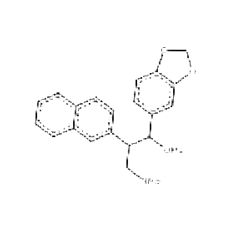 CNCC(c1ccc2ccccc2c1)C(OC)c1ccc2c(c1)OCO2